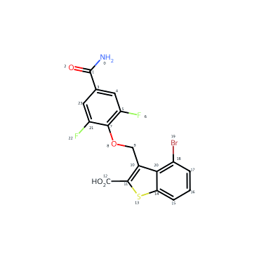 NC(=O)c1cc(F)c(OCc2c(C(=O)O)sc3cccc(Br)c23)c(F)c1